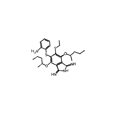 CCCC(C)Oc1c(SCC)c(Sc2ccccc2N)c(OC(C)CCC)c2c1C(=N)NC2=N